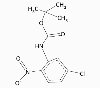 CC(C)(C)OC(=O)Nc1cc(Cl)ccc1[N+](=O)[O-]